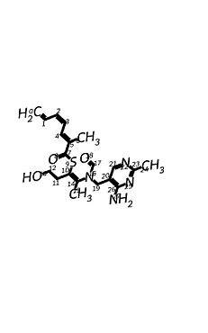 C=C/C=C\C=C(/C)C(=O)S/C(CCO)=C(/C)N(C=O)Cc1cnc(C)nc1N